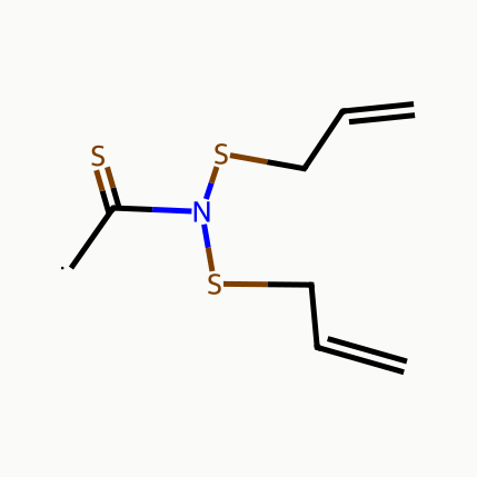 [CH2]C(=S)N(SCC=C)SCC=C